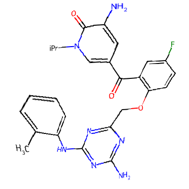 Cc1ccccc1Nc1nc(N)nc(COc2ccc(F)cc2C(=O)c2cc(N)c(=O)n(C(C)C)c2)n1